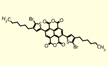 CCCCCCc1cc(-c2cc3c4c(c(-c5cc(CCCCCC)c(Br)s5)cc5c4c2C(=O)OC5=O)C(=O)OC3=O)sc1Br